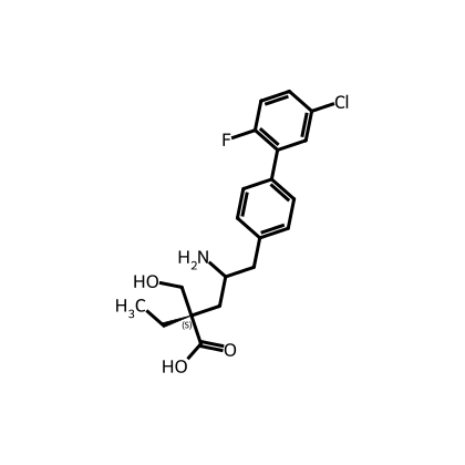 CC[C@@](CO)(CC(N)Cc1ccc(-c2cc(Cl)ccc2F)cc1)C(=O)O